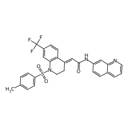 Cc1ccc(S(=O)(=O)N2CCC(=CC(=O)Nc3ccc4cccnc4c3)c3ccc(C(F)(F)F)cc32)cc1